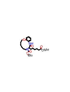 COC(=O)CCCCCC1C(=O)Nc2ccccc2OCCCCCCN1C(=O)OC(C)(C)C